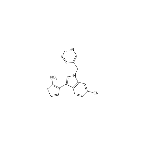 N#Cc1ccc2c(-c3ccsc3[N+](=O)[O-])cn(Cc3cncnc3)c2c1